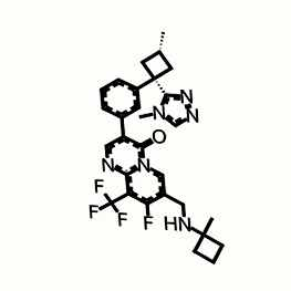 Cn1cnnc1[C@]1(c2cccc(-c3cnc4c(C(F)(F)F)c(F)c(CNC5(C)CCC5)cn4c3=O)c2)C[C@H](C)C1